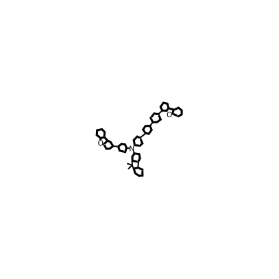 CC1(C)c2ccccc2-c2ccc(N(c3ccc(-c4ccc(-c5ccc(-c6cccc7c6oc6ccccc67)cc5)cc4)cc3)c3ccc(-c4ccc5oc6ccccc6c5c4)cc3)cc21